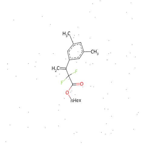 C=C(c1cc(C)cc(C)c1)C(F)(F)C(=O)OCCCCCC